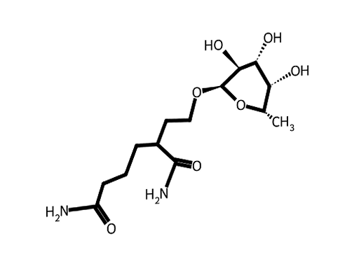 C[C@@H]1O[C@@H](OCCC(CCCC(N)=O)C(N)=O)[C@@H](O)[C@H](O)[C@@H]1O